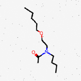 CCCCCOCCN(CCCC)C(C)=O